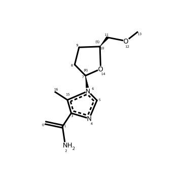 C=C(N)c1ncn([C@H]2CC[C@@H](COC)O2)c1C